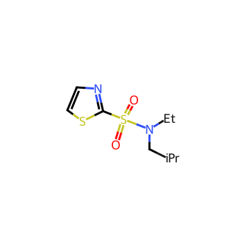 CCN(CC(C)C)S(=O)(=O)c1nccs1